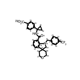 O=C(O)c1ccc(C2(NC(=O)c3cccc4c3N(Cc3ccc(C(F)(F)F)cc3)CC43CCOCC3)CC2)cc1